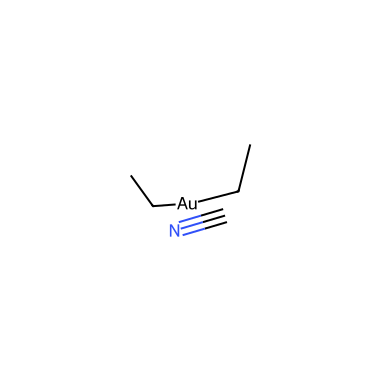 C#N.C[CH2][Au][CH2]C